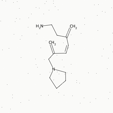 C=C(/C=C\C(=C)CN1CCCC1)CCN